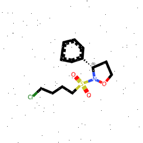 O=S(=O)(CCCCCl)N1OCC[C@H]1c1ccccc1